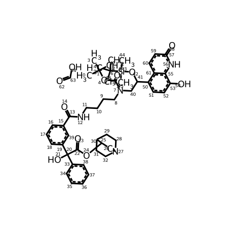 CC(C)(C)OC(=O)N(CCCCNC(=O)c1cccc(C(O)(C(=O)OC2CN3CCC2CC3)c2ccccc2)c1)CC(O[Si](C)(C)C(C)(C)C)c1ccc(O)c2[nH]c(=O)ccc12.O=CO